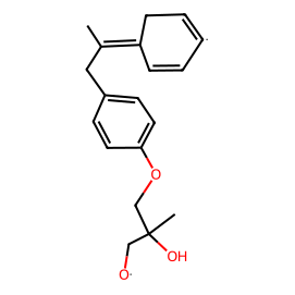 CC(Cc1ccc(OCC(C)(O)C[O])cc1)=C1C=C[C]=CC1